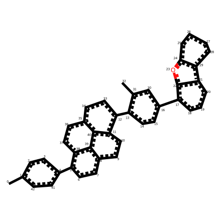 Cc1ccc(-c2ccc3ccc4c(-c5ccc(-c6cccc7c6oc6ccccc67)cc5C)ccc5ccc2c3c54)cc1